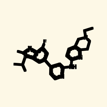 CCN1CCc2nc(Nc3cc(-c4cc(F)c5nc(C)n(C(C)C)c5c4)ccn3)ccc2C1